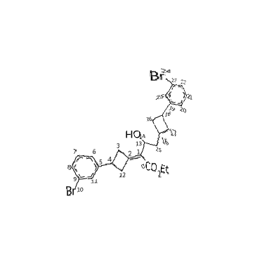 CCOC(=O)C(=C1CC(c2cccc(Br)c2)C1)C(O)CC1CC(c2cccc(Br)c2)C1